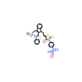 CCC1=C(c2nc3ccccc3s2)C(CC=C2SC(=S)N(c3ccc(NNC=O)cc3)C2=O)c2ccccc21